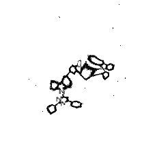 c1ccc(-c2cc(-n3c4ccccc4c4cc(-c5ccc6oc7cc8c(cc7c6c5)-c5ccccc5C85c6ccccc6-c6ccccc65)ccc43)nc(-c3ccccc3)n2)cc1